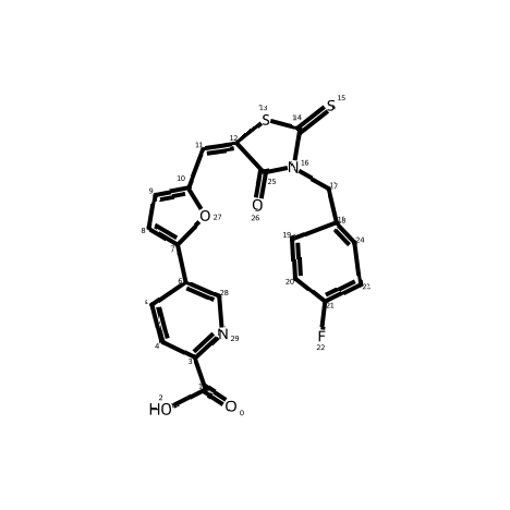 O=C(O)c1ccc(-c2ccc(C=C3SC(=S)N(Cc4ccc(F)cc4)C3=O)o2)cn1